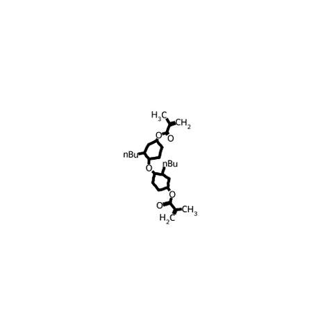 C=C(C)C(=O)OC1CCC(OC2CCC(OC(=O)C(=C)C)CC2CCCC)C(CCCC)C1